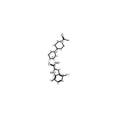 CC(=O)N1CCC([C@@H]2CCC[C@@H](NC(=O)C3Cc4c(F)ccc(C)c4N3)C2)CC1